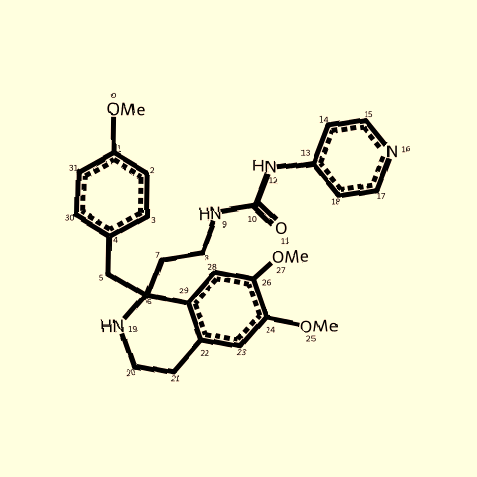 COc1ccc(CC2(CCNC(=O)Nc3ccncc3)NCCc3cc(OC)c(OC)cc32)cc1